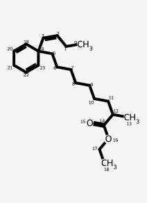 CC/C=C\C1(CCCCCCCC(C)C(=O)OCC)C=CCC=C1